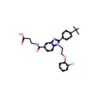 CC(C)(C)c1ccc(-c2nc3cc(C(=O)NCCC(=O)O)ccc3n2CCOc2ccccc2Cl)cc1